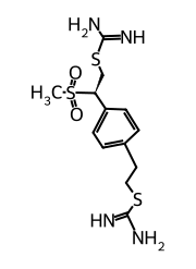 CS(=O)(=O)[C@@H](CSC(=N)N)c1ccc(CCSC(=N)N)cc1